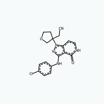 N#CCC1(n2nc(Nc3ccc(Cl)cc3)c3c(=O)[nH]ccc32)CCOC1